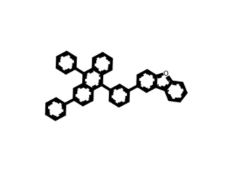 c1ccc(-c2ccc3c(-c4cccc(-c5ccc6oc7ccccc7c6c5)c4)c4ccccc4c(-c4ccccc4)c3c2)cc1